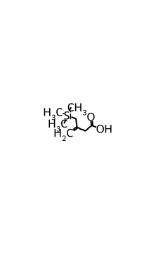 C=C(CC(=O)O)C[Si](C)(C)C